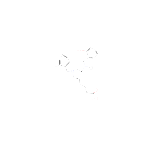 Cc1ccccc1CN(CCCCCC(=O)O)CCN(C)Cc1ccccc1O